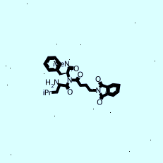 CNC(=O)[C@H](Cc1ccccc1)N(C(=O)CCCN1C(=O)c2ccccc2C1=O)C(=O)[C@@H](N)CC(C)C